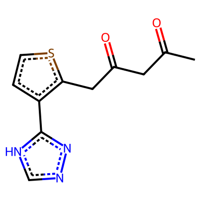 CC(=O)CC(=O)Cc1sccc1-c1nnc[nH]1